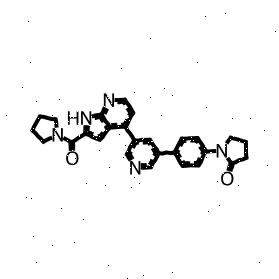 O=C(c1cc2c(-c3cncc(-c4ccc(N5CCCC5=O)cc4)c3)ccnc2[nH]1)N1CCCC1